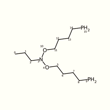 CCCN(OCCCCP)OCCCCP